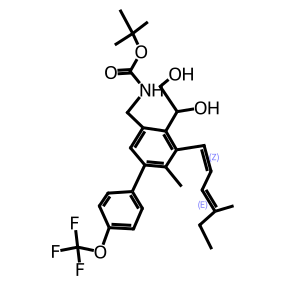 CC/C(C)=C/C=C\c1c(C)c(-c2ccc(OC(F)(F)F)cc2)cc(CNC(=O)OC(C)(C)C)c1C(O)CO